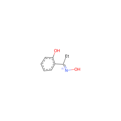 CC/C(=N\O)c1ccccc1O